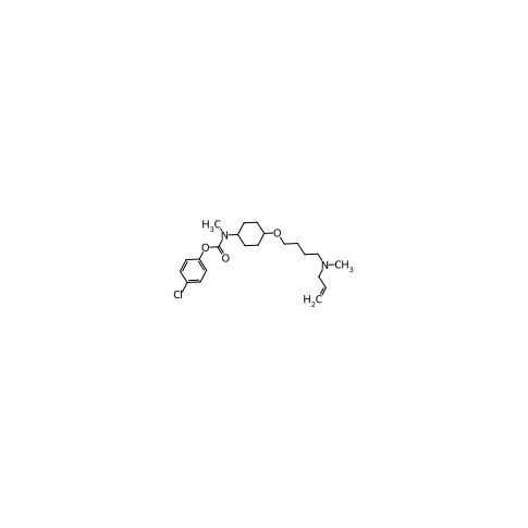 C=CCN(C)CCCCOC1CCC(N(C)C(=O)Oc2ccc(Cl)cc2)CC1